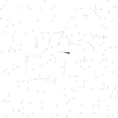 COCC1C(=O)O[C@@H]2/C=C(\C)CC/C=C(\C)C[C@@H](O)[C@@H]12